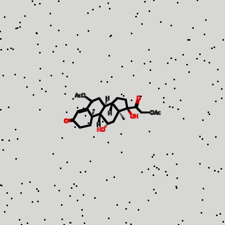 CC(=O)OCC(=O)[C@@]1(O)CC[C@H]2[C@@H]3CC(OC(C)=O)C4=CC(=O)CC[C@]4(C)[C@H]3[C@@H](O)C[C@@]21C